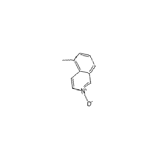 Cc1cccc2c[n+]([O-])ccc12